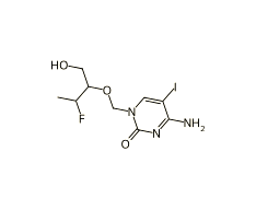 CC(F)C(CO)OCn1cc(I)c(N)nc1=O